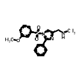 CNCc1cn(S(=O)(=O)c2cccc(OC)c2)c(-c2ccccc2)n1